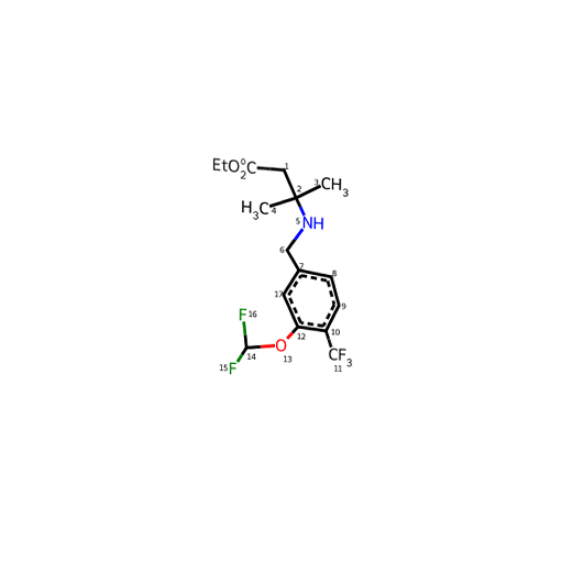 CCOC(=O)CC(C)(C)NCc1ccc(C(F)(F)F)c(OC(F)F)c1